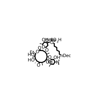 CCCCCCCCCCCCCCCCOS(=O)(=O)O.CC[C@H]1OC(=O)[C@H](C)[C@@H](O[C@H]2C[C@@](C)(OC)[C@@H](O)[C@H](C)O2)[C@@H](C)[C@@H](O[C@@H]2O[C@H](C)C[C@H](N(C)C)[C@H]2O)[C@](C)(O)C[C@@H](C)C(=O)[C@H](C)[C@H](O)[C@]1(C)O